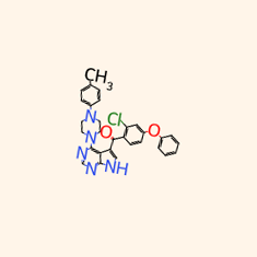 Cc1ccc(N2CCN(c3ncnc4[nH]cc(C(=O)c5ccc(Oc6ccccc6)cc5Cl)c34)CC2)cc1